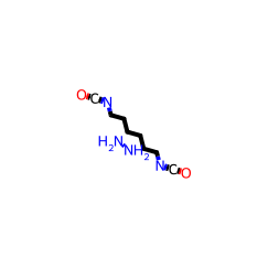 NN.O=C=NCCCCCCN=C=O